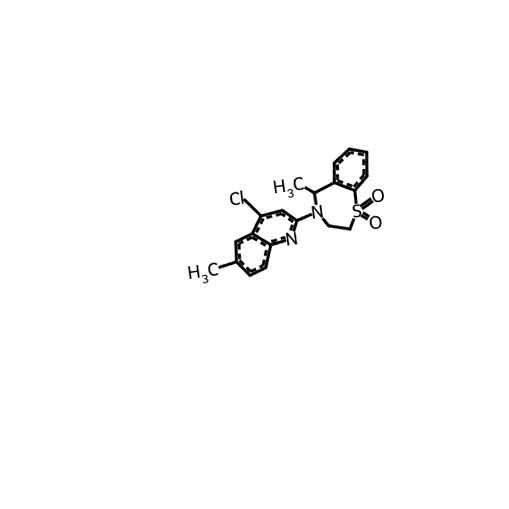 Cc1ccc2nc(N3CCS(=O)(=O)c4ccccc4C3C)cc(Cl)c2c1